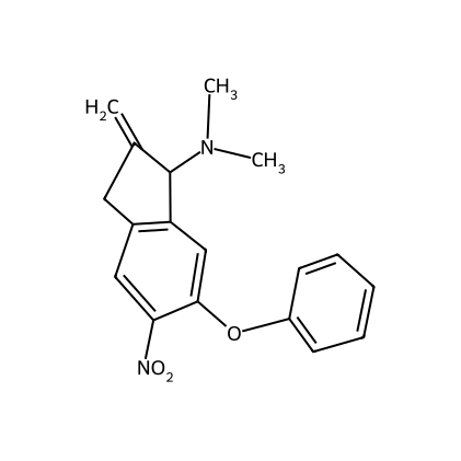 C=C1Cc2cc([N+](=O)[O-])c(Oc3ccccc3)cc2C1N(C)C